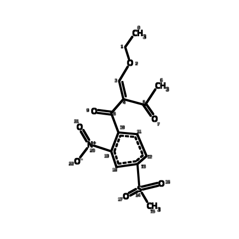 CCOC=C(C(C)=O)C(=O)c1ccc(S(C)(=O)=O)cc1[N+](=O)[O-]